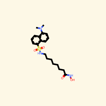 CN(C)c1cccc2c(S(=O)(=O)NCCCCCCCC(=O)NO)cccc12